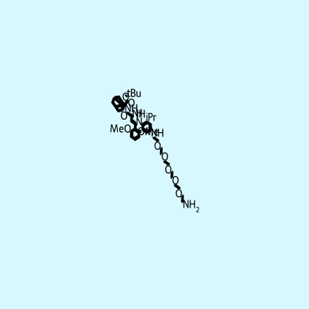 COc1cccc(OC)c1/C(=C/C(=N)C(=O)NC1(C(=O)OC(C)(C)C)C2CC3CC(C2)CC1C3)Nc1ccc(NCCOCCOCCOCCOCCOCCN)cc1C(C)C